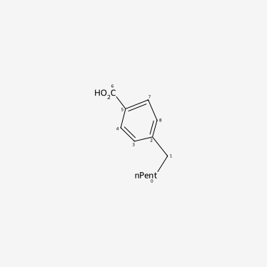 CCCCCCc1ccc(C(=O)O)cc1